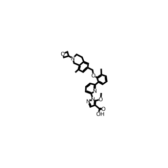 COc1c(C(=O)O)cnn1-c1cccc(-c2cccc(C)c2OCc2cc(C)c3c(c2)CCN(C2COC2)C3)n1